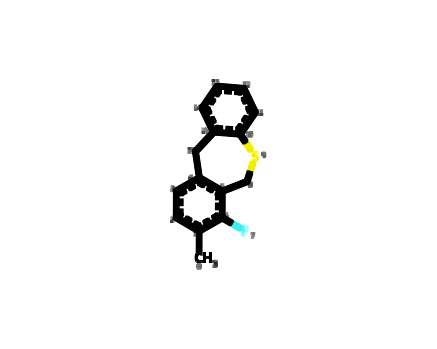 Cc1ccc2c(c1F)CSc1ccccc1C2